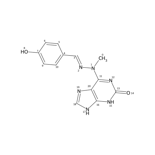 CN(N=Cc1ccc(O)cc1)c1nc(=O)[nH]c2[nH]cnc12